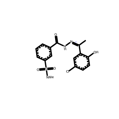 CNS(=O)(=O)c1cccc(C(=O)N/N=C(/C)c2cc(Cl)ccc2O)c1